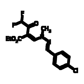 CCOC(=O)C(=CN(C)N=Cc1ccc(Cl)cc1)C(=O)C(F)F